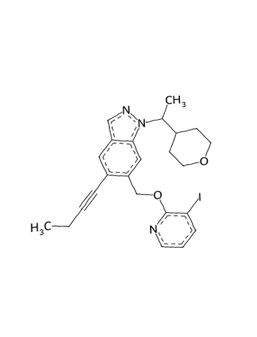 CCC#Cc1cc2cnn(C(C)C3CCOCC3)c2cc1COc1ncccc1I